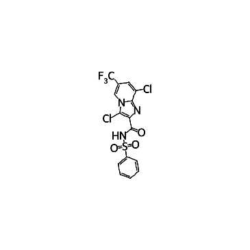 O=C(NS(=O)(=O)c1ccccc1)c1nc2c(Cl)cc(C(F)(F)F)cn2c1Cl